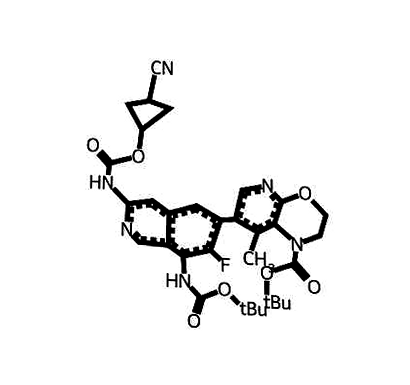 Cc1c(-c2cc3cc(NC(=O)OC4CC(C#N)C4)ncc3c(NC(=O)OC(C)(C)C)c2F)cnc2c1N(C(=O)OC(C)(C)C)CCO2